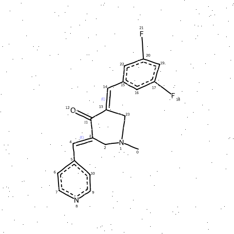 CN1C/C(=C\c2ccncc2)C(=O)/C(=C/c2cc(F)cc(F)c2)C1